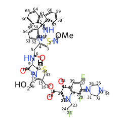 CO/N=S1/C=C(CC(=O)N[C@@H]2C(=O)N3C(C(=O)O)=C(COC(=O)c4cn(CCF)c5c(F)c(N6CCN(C)CC6)c(F)cc5c4=O)CS[C@H]23)N=C1NC(c1ccccc1)(c1ccccc1)c1ccccc1